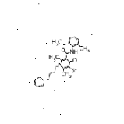 CCc1cccc(C)c1NC(=O)c1c(C)n(CCCCc2ccccc2)c(C)c(Br)c1=O